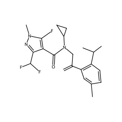 C=C(CN(C(=O)c1c(C(F)F)nn(C)c1F)C1CC1)c1cc(C)ccc1C(C)C